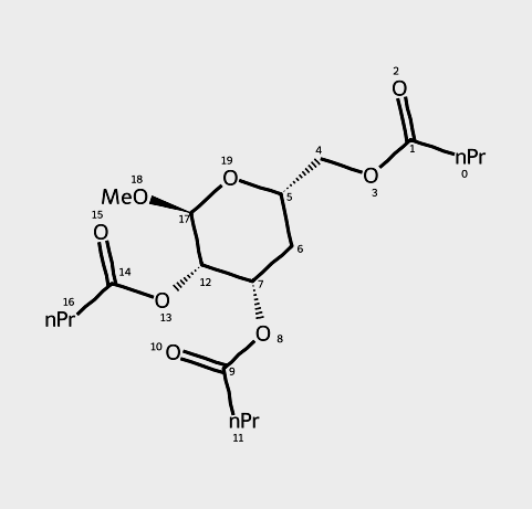 CCCC(=O)OC[C@@H]1C[C@H](OC(=O)CCC)[C@H](OC(=O)CCC)[C@@H](OC)O1